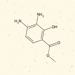 COC(=O)c1ccc(N)c(N)c1O